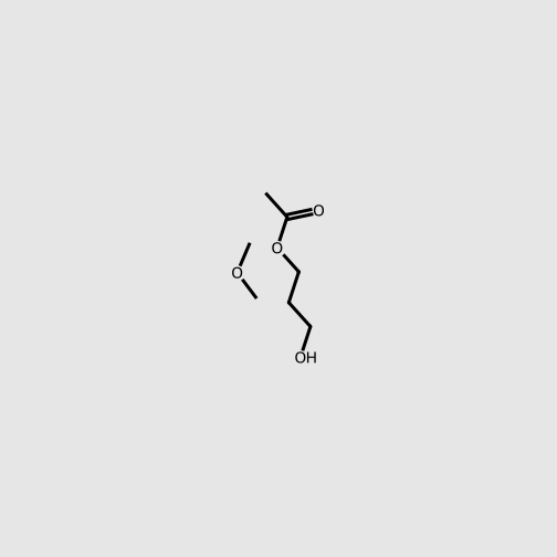 CC(=O)OCCCO.COC